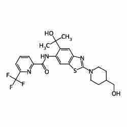 CC(C)(O)c1cc2nc(N3CCC(CO)CC3)sc2cc1NC(=O)c1cccc(C(F)(F)F)n1